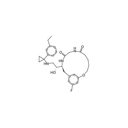 CCc1cccc(C2(NC[C@@H](O)[C@@H]3Cc4cc(F)cc(c4)OCCCCC(=O)NCC(=O)N3)CC2)c1